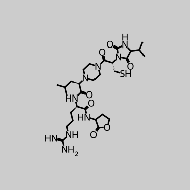 CC(C)C[C@H](C(=O)N[C@H](CCCNC(=N)N)C(=O)NC1CCOC1=O)N1CCN(C(=O)[C@@H](CS)N2C(=O)NC(C(C)C)C2=O)CC1